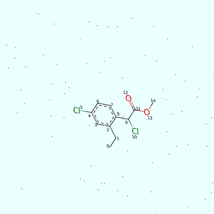 CCc1cc(Cl)ccc1C(Cl)C(=O)OC